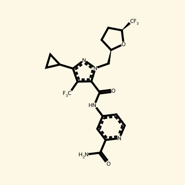 NC(=O)c1cc(NC(=O)c2c(C(F)(F)F)c(C3CC3)nn2C[C@H]2CC[C@@H](C(F)(F)F)O2)ccn1